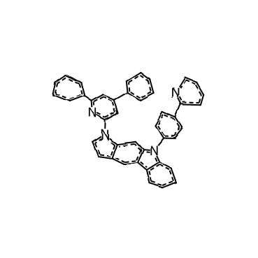 c1ccc(-c2cc(-c3ccccc3)nc(-n3ccc4cc5c6ccccc6n(-c6ccc(-c7ccccn7)cc6)c5cc43)c2)cc1